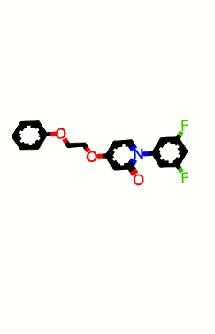 O=c1cc(OCCOc2ccccc2)ccn1-c1cc(F)cc(F)c1